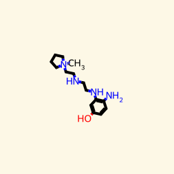 C[N+]1(CCNCCNc2cc(O)ccc2N)CCCC1